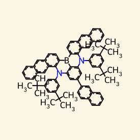 CC(C)(C)c1cc(N2c3cc(-c4ccc5ccccc5c4)cc4c3B(c3ccc5cc6ccccc6cc5c32)c2ccc3cc5ccccc5cc3c2N4c2cc(C(C)(C)C)cc(C(C)(C)C)c2)cc(C(C)(C)C)c1